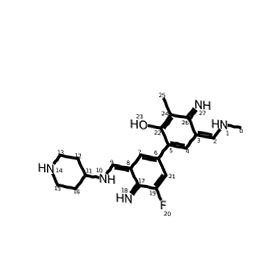 CN/C=C1/C=C(C2=C/C(=C/NC3CCNCC3)C(=N)C(F)=C2)C(O)=C(C)C1=N